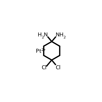 NC1(N)CCC(Cl)(Cl)CC1.[Pt+2]